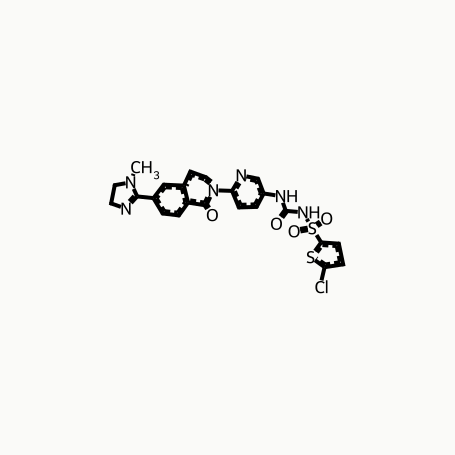 CN1CCN=C1c1ccc2c(=O)n(-c3ccc(NC(=O)NS(=O)(=O)c4ccc(Cl)s4)cn3)ccc2c1